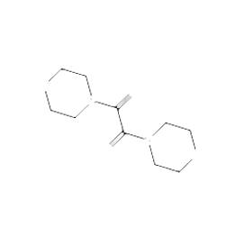 O=C(C(=O)N1CCOCC1)N1CCOCC1